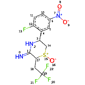 N=C1NC(c2cc([N+](=O)[O-])ccc2F)C[S+]([O-])C1CC(F)(F)F